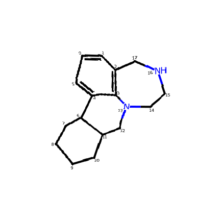 c1cc2c3c(c1)C1CCCCC1CN3CCNC2